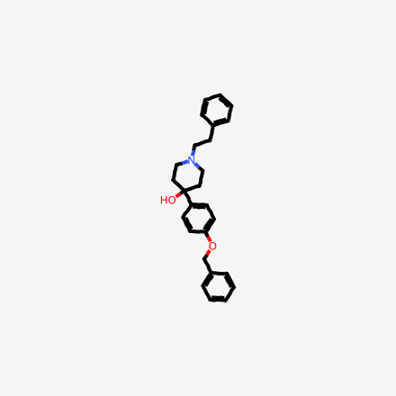 OC1(c2ccc(OCc3ccccc3)cc2)CCN(CCc2ccccc2)CC1